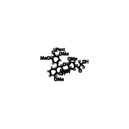 CCC[C@@H](C)Oc1c(OC)cc(C(c2cccc(OC)c2O)C(CO)Oc2c(OC)cc(C(=O)C(C)(C)O)cc2OC)cc1OC